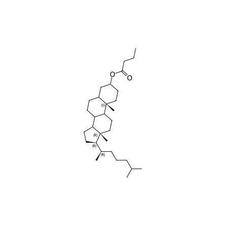 CCCC(=O)OC1CC[C@@]2(C)C(CCC3C2CC[C@@]2(C)C3CC[C@@H]2[C@H](C)CCCC(C)C)C1